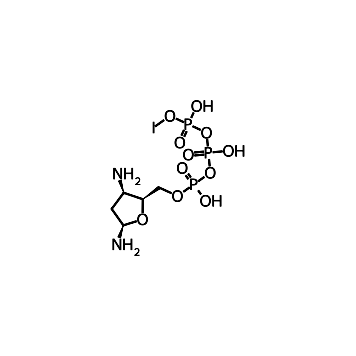 N[C@@H]1C[C@H](N)O[C@@H]1COP(=O)(O)OP(=O)(O)OP(=O)(O)OI